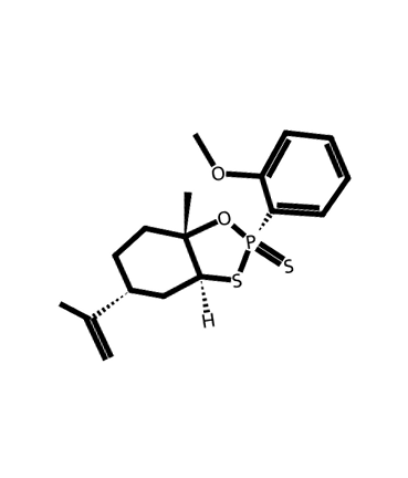 C=C(C)[C@@H]1CC[C@]2(C)O[P@](=S)(c3ccccc3OC)S[C@H]2C1